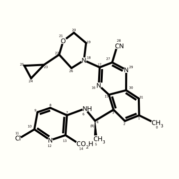 Cc1cc([C@@H](C)Nc2ccc(Cl)nc2C(=O)O)c2nc(N3CCOC(C4CC4)C3)c(C#N)nc2c1